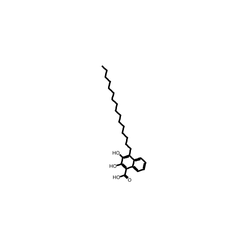 CCCCCCCCCCCCCCCCc1c(O)c(O)c(C(=O)O)c2ccccc12